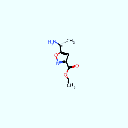 CCOC(=O)c1cc([C@@H](C)N)on1